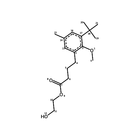 COc1c(CCCC(=O)OCCO)cc(C)cc1C(C)(C)C